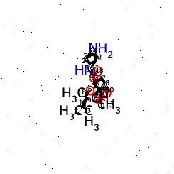 COCC1(C(C)O[C@H](C)CC=C(C)C)CC(OC(=O)N[C@H]2CC[C@H](N)CC2)CC[C@]12CO2